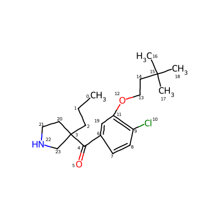 CCCC1(C(=O)c2ccc(Cl)c(OCCC(C)(C)C)c2)CCNC1